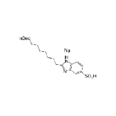 CCCCCCCCCCCCCCCCCc1nc2cc(S(=O)(=O)O)ccc2[nH]1.[Na]